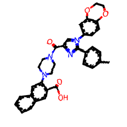 Cc1ccc(-c2nc(C(=O)N3CCN(c4cc5ccccc5cc4C(=O)O)CC3)cn2-c2ccc3c(c2)OCCO3)cc1